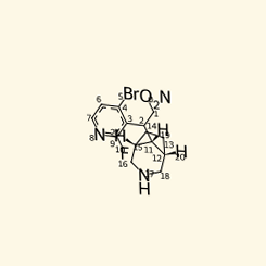 O=[N+]([O-])CC(c1c(Br)ccnc1F)[C@@H]1[C@@H]2CC[C@H]1CNC2